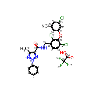 Cc1nn(-c2ccccc2)nc1C(=O)NCc1ccc(Cl)c(Oc2cc(Cl)cc(C#N)c2)c1F.O=C(O)C(F)(F)F